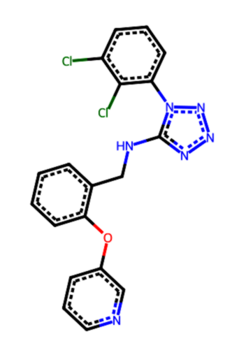 Clc1cccc(-n2nnnc2NCc2ccccc2Oc2cccnc2)c1Cl